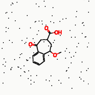 COC1CC(C(=O)O)CC(=O)c2ccccc21